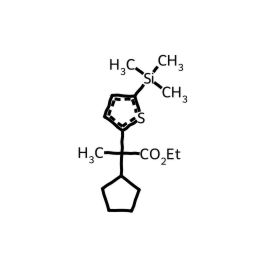 CCOC(=O)C(C)(c1ccc([Si](C)(C)C)s1)C1CCCC1